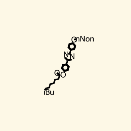 CCCCCCCCCOc1ccc(-c2ncc(-c3ccc(OC(=O)CCCCCCC(C)CC)cc3)cn2)cc1